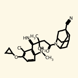 CNc1ccc(OC2CC2)c(Cl)c1C(=N)C(C)(C)CC(=O)N1C2CC3CC1CC(C#N)(C3)C2